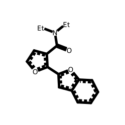 CCN(CC)C(=O)c1ccoc1-c1cc2ccccc2o1